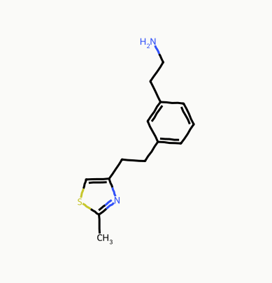 Cc1nc(CCc2cccc(CCN)c2)cs1